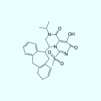 CC(C)N1CC(C2CC3=C(CCC=C3)Cc3ccccc32)n2c(S(C)(=O)=O)nc(=O)c(O)c2C1=O